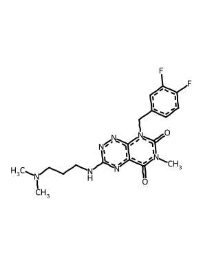 CN(C)CCCNc1nnc2c(n1)c(=O)n(C)c(=O)n2Cc1ccc(F)c(F)c1